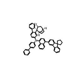 CC[C@H]1C[C@H]2CC[C@H](C2)[C@]12c1ccccc1-c1ccc(N(c3ccc(-c4ccccc4)cc3)c3ccc(-c4ccc5c(c4)-c4ccccc4C54CCCC4)c4ccccc34)cc12